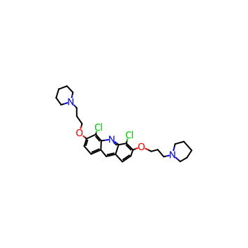 Clc1c(OCCCN2CCCCC2)ccc2cc3ccc(OCCCN4CCCCC4)c(Cl)c3nc12